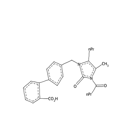 CCCC(=O)n1c(C)c(CCC)n(Cc2ccc(-c3ccccc3C(=O)O)cc2)c1=O